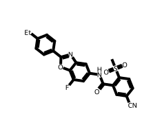 CCc1ccc(-c2nc3cc(NC(=O)c4cc(C#N)ccc4S(C)(=O)=O)cc(F)c3o2)cc1